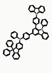 c1ccc(N(c2ccc(-c3cc(-c4ccc(-n5c6ccccc6c6ccccc65)cc4)c4c(c3)c3ccccc3n4-c3ccccc3)cc2)c2ccc3c(c2)C(c2ccccc2)(c2ccccc2)c2ccccc2-3)cc1